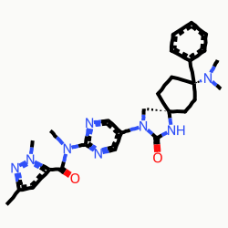 Cc1cc(C(=O)N(C)c2ncc(N3C[C@]4(CC[C@@](c5ccccc5)(N(C)C)CC4)NC3=O)cn2)n(C)n1